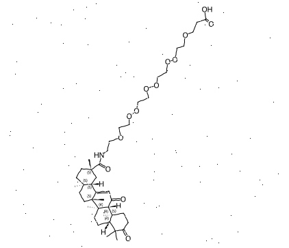 CC1(C)C(=O)CC[C@]2(C)[C@H]3C(=O)C=C4[C@H]5C[C@@](C)(C(=O)NCCOCCOOCCOOCCOOCCOCCC(=O)O)CC[C@]5(C)CC[C@@]4(C)[C@]3(C)CC[C@@H]12